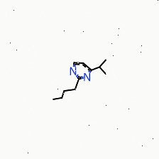 CCCCc1nccc(C(C)C)n1